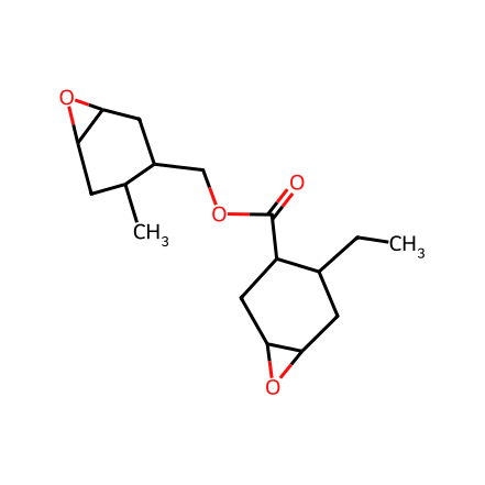 CCC1CC2OC2CC1C(=O)OCC1CC2OC2CC1C